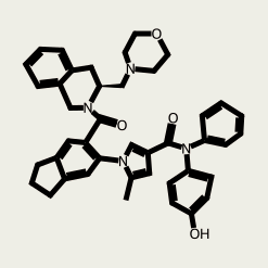 Cc1cc(C(=O)N(c2ccccc2)c2ccc(O)cc2)cn1-c1cc2c(cc1C(=O)N1Cc3ccccc3C[C@H]1CN1CCOCC1)CCC2